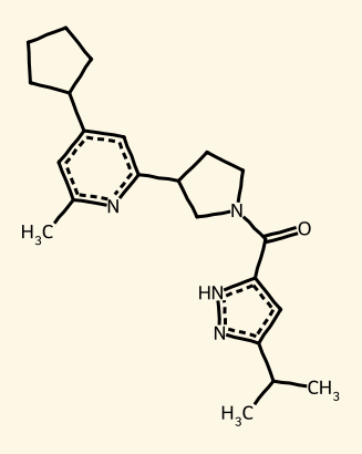 Cc1cc(C2CCCC2)cc(C2CCN(C(=O)c3cc(C(C)C)n[nH]3)C2)n1